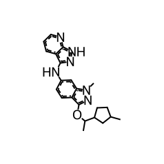 CC1CCC(C(C)Oc2nn(C)c3cc(Nc4n[nH]c5ncccc45)ccc23)C1